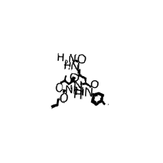 [CH2]c1ccc(NC(=O)[C@H](CCCNC(N)=O)NC(=O)[C@@H](NC(=O)OCC=C)C(C)C)cc1